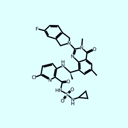 Cc1cc([C@@H](C)Nc2ccc(Cl)nc2C(=O)NS(=O)(=O)NC2CC2)c2nc(N3Cc4ccc(F)cc4C3)n(C)c(=O)c2c1